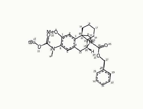 COc1cc2c(cc1N(C)C(=O)OC(C)(C)C)C[C@@H]1[C@@H]3CCCC[C@]23CCN1C(=O)OCc1ccccc1